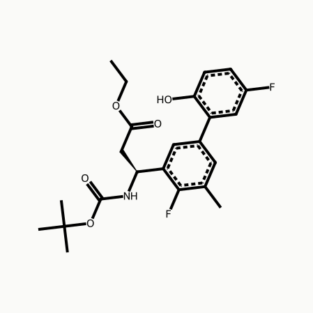 CCOC(=O)C[C@H](NC(=O)OC(C)(C)C)c1cc(-c2cc(F)ccc2O)cc(C)c1F